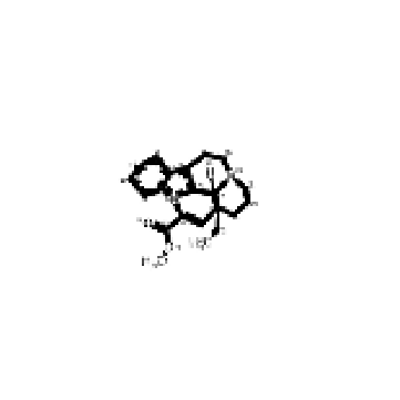 CC[C@]12C=C(C(=O)OC)n3c4c(c5ccccc53)CCN(CCC1)[C@@H]42